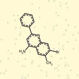 Cc1cc2c(N)cc(-c3ccccc3)nc2cc1Br